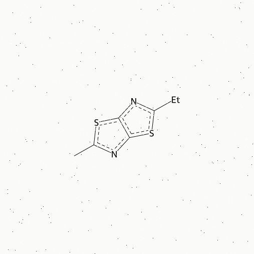 CCc1nc2sc(C)nc2s1